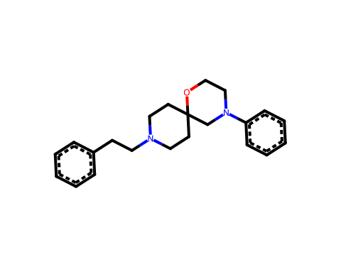 c1ccc(CCN2CCC3(CC2)CN(c2ccccc2)CCO3)cc1